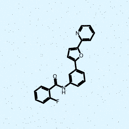 O=C(Nc1cccc(-c2ccc(-c3ccccn3)o2)c1)c1ccccc1F